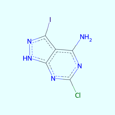 Nc1nc(Cl)nc2[nH]nc(I)c12